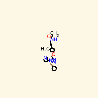 CCC(=O)NCC#Cc1ccc(OCc2nnc(SC3C=CCCC3)n2-c2cccnc2)cc1C